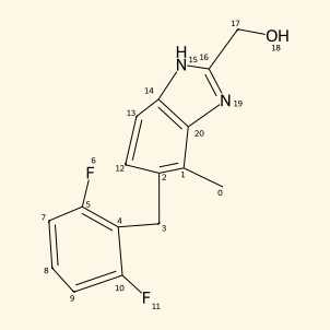 Cc1c(Cc2c(F)cccc2F)ccc2[nH]c(CO)nc12